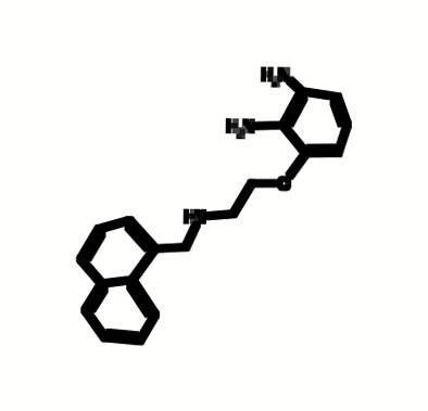 Nc1cccc(OCCNCc2cccc3ccccc23)c1N